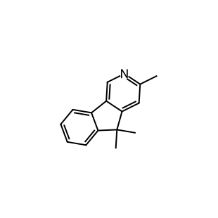 Cc1cc2c(cn1)-c1ccccc1C2(C)C